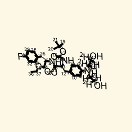 [2H]C([2H])(O)C([2H])([2H])N(c1ccc(C[C@H](NC(=O)OC(C)(C)C)C(=O)N[C@@H](Cc2ccc(F)cc2)C(=O)OCC)cc1)C([2H])([2H])C([2H])([2H])O